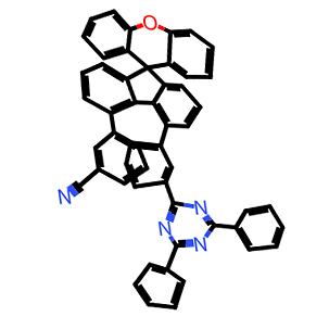 N#Cc1cccc(-c2cccc3c2-c2c(-c4cccc(-c5nc(-c6ccccc6)nc(-c6ccccc6)n5)c4)cccc2C32c3ccccc3Oc3ccccc32)c1